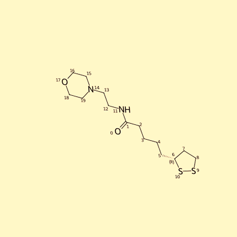 O=C(CCCC[C@@H]1CCSS1)NCCN1CCOCC1